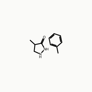 CC1CNNC1=O.Cc1ccccc1